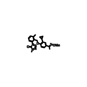 CON=C(C)c1ccc(OCc2c(C)cccc2-n2nnn(C)c2=O)c(C2CC2)c1